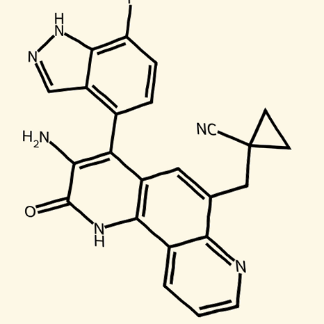 N#CC1(Cc2cc3c(-c4ccc(F)c5[nH]ncc45)c(N)c(=O)[nH]c3c3cccnc23)CC1